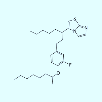 CCCCCCC(C)Oc1ccc(CCC(CCCCC)c2csc3nccn23)cc1F